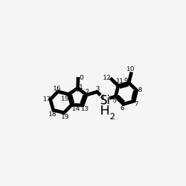 C[C]1C(C[SiH2]c2cccc(C)c2C)=CC2=C1CCCC2